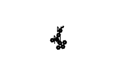 CCCc1ccc(-c2ccc(-c3nc(-c4ccccc4)nc(-c4ccc(-c5c(-c6ccccc6)cccc5-c5ccccc5)cc4)n3)cc2)c(C)n1